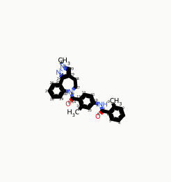 Cc1ccccc1C(=O)Nc1ccc(C(=O)N2CCc3cn(C)nc3-c3ccccc32)c(C)c1